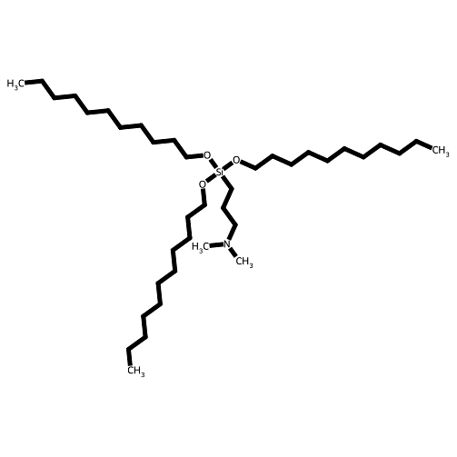 CCCCCCCCCCCO[Si](CCCN(C)C)(OCCCCCCCCCCC)OCCCCCCCCCCC